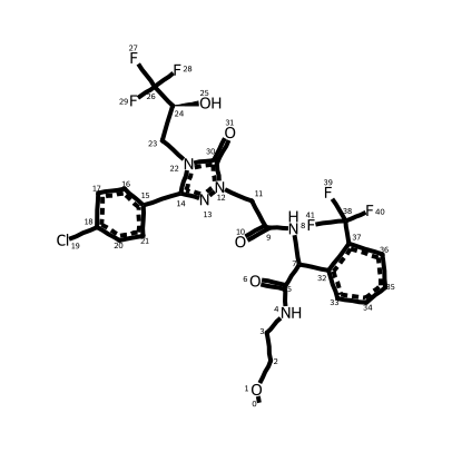 COCCNC(=O)C(NC(=O)Cn1nc(-c2ccc(Cl)cc2)n(C[C@H](O)C(F)(F)F)c1=O)c1ccccc1C(F)(F)F